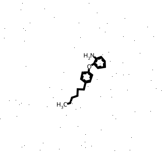 CCCCCCc1ccc(Oc2ccccc2N)cc1